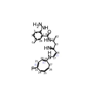 Cc1ccc(NN)c(C(=O)NC(C)CC(=N)/C=C\N/C2=C/C=C(/F)C=C=CC2)c1